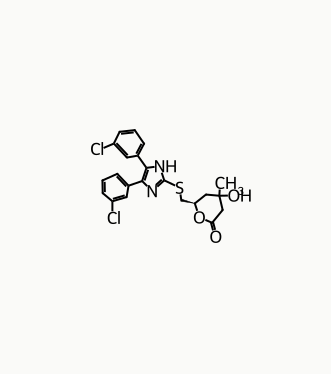 CC1(O)CC(=O)O[C@@H](CSc2nc(-c3cccc(Cl)c3)c(-c3cccc(Cl)c3)[nH]2)C1